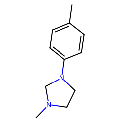 Cc1ccc(N2CCN(C)C2)cc1